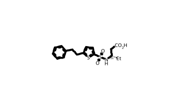 CC[C@@H](CC(=O)O)NS(=O)(=O)c1ccc(CCc2ccccc2)s1